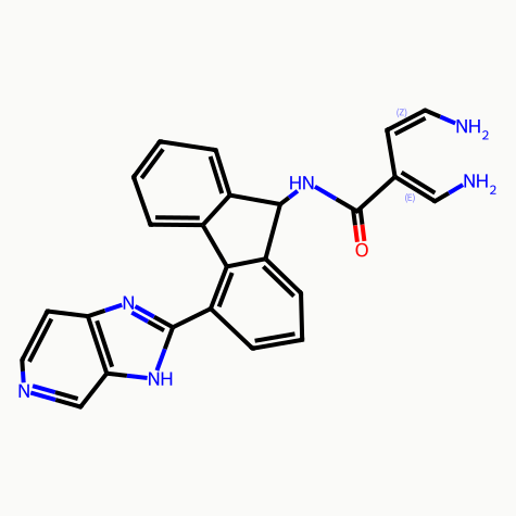 N/C=C\C(=C/N)C(=O)NC1c2ccccc2-c2c(-c3nc4ccncc4[nH]3)cccc21